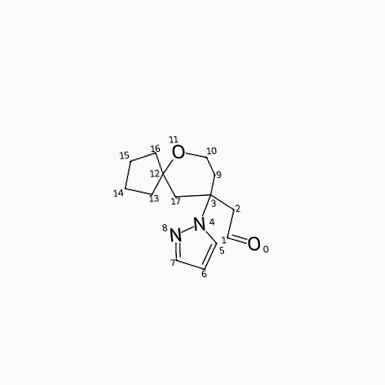 O=CCC1(n2cccn2)CCOC2(CCCC2)C1